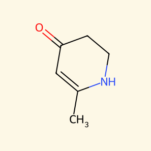 CC1=CC(=O)CCN1